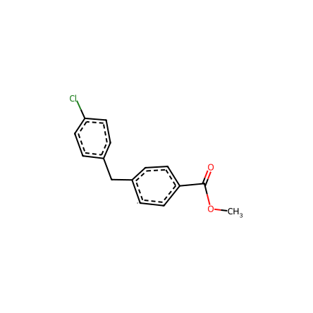 COC(=O)c1c[c]c(Cc2ccc(Cl)cc2)cc1